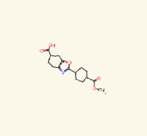 COC(=O)C1CCC(c2nc3c(o2)CC(C(=O)O)CC3)CC1